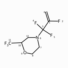 C=C(F)C(F)(F)N1CCOC(C(F)(F)F)C1